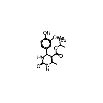 COc1cc(C2NC(=O)NC(C)=C2C(=O)OC(C)C(C)(C)C)ccc1O